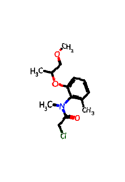 COCC(C)Oc1cccc(C)c1N(C)C(=O)CCl